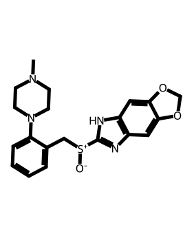 CN1CCN(c2ccccc2C[S+]([O-])c2nc3cc4c(cc3[nH]2)OCO4)CC1